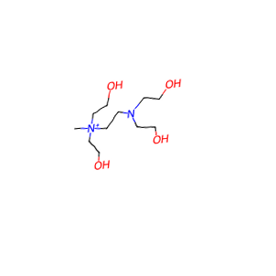 C[N+](CCO)(CCO)CCN(CCO)CCO